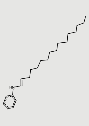 CCCCCCCCCCCCCCC=CNc1cc[c]cc1